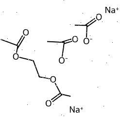 CC(=O)OCCOC(C)=O.CC(=O)[O-].CC(=O)[O-].[Na+].[Na+]